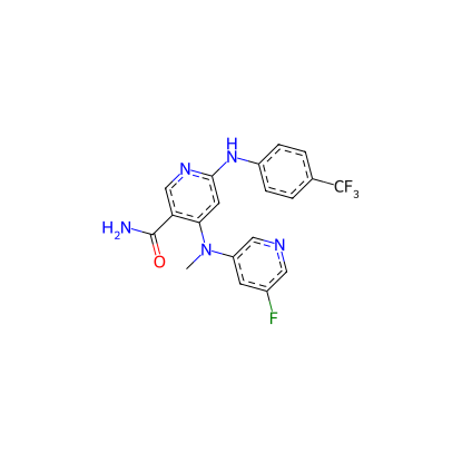 CN(c1cncc(F)c1)c1cc(Nc2ccc(C(F)(F)F)cc2)ncc1C(N)=O